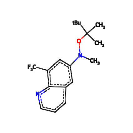 CN(OC(C)(C)C(C)(C)C)c1cc(C(F)(F)F)c2ncccc2c1